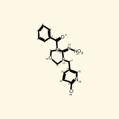 O=C(c1ccccc1)N1COCN(Cc2ccc(Cl)nc2)C1=N[N+](=O)[O-]